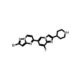 Fc1cc(-c2ccn3nc(Br)cc3n2)cn2cc(C3CCNCC3)nc12